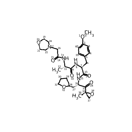 COc1ccc(C[C@H](NC(=O)[C@H](C)NC(=O)CN2CCOCC2)C(=O)N[C@@H](C[C@@H]2CCCO2)C(=O)[C@@]2(C)CO2)cc1